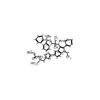 CC(C)c1ncccc1-c1c(CC(C)(C)CO[Si](c2ccccc2)(c2ccccc2)C(C)(C)C)c2cc(-c3nc(C[C@H](NC(=O)OC(C)(C)C)C(=O)O)ns3)ccc2n1CC(F)(F)F